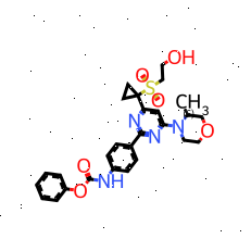 C[C@H]1COCCN1c1cc(C2(S(=O)(=O)CCO)CC2)nc(-c2ccc(NC(=O)Oc3ccccc3)cc2)n1